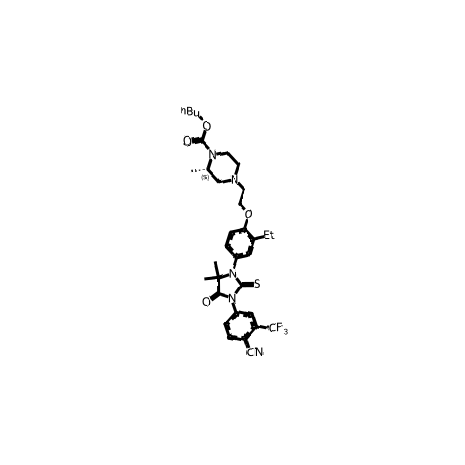 CCCCOC(=O)N1CCN(CCOc2ccc(N3C(=S)N(c4ccc(C#N)c(C(F)(F)F)c4)C(=O)C3(C)C)cc2CC)C[C@@H]1C